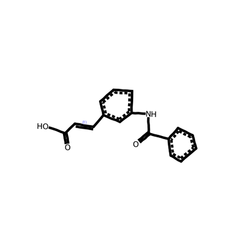 O=C(O)/C=C/c1cccc(NC(=O)c2ccccc2)c1